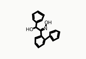 ON=C(c1ccccc1-c1ccccc1)C(O)c1ccccc1